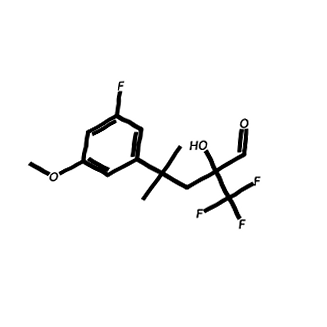 COc1cc(F)cc(C(C)(C)CC(O)(C=O)C(F)(F)F)c1